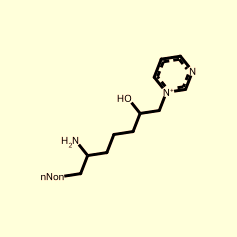 CCCCCCCCCCC(N)CCCC(O)C[n+]1cccnc1